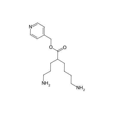 NCCCCC(CCCN)C(=O)OCc1ccncc1